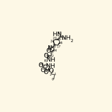 CCCOC(=O)N[C@@H](CNC(=O)Cc1cc(-c2ccc(C(=N)N)cc2)no1)C(=O)O